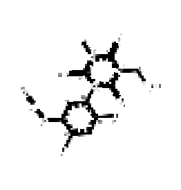 Cn1c(=O)n(CC(=O)O)c(=O)n(-c2cc(N=C=O)c(F)cc2Cl)c1=O